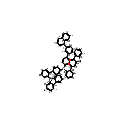 c1cc(-c2ccc(N(c3ccc(-c4ccccc4-n4c5ccccc5c5ccccc54)cc3)c3ccccc3-c3ccc4c(c3)sc3ccccc34)cc2)cc(-c2cccc3ccccc23)c1